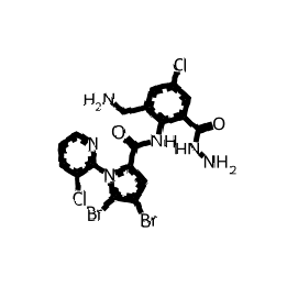 NCc1cc(Cl)cc(C(=O)NN)c1NC(=O)c1cc(Br)c(Br)n1-c1ncccc1Cl